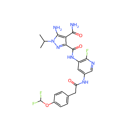 CC(C)n1nc(C(=O)Nc2cc(NC(=O)Cc3ccc(OC(F)F)cc3)cnc2F)c(C(N)=O)c1N